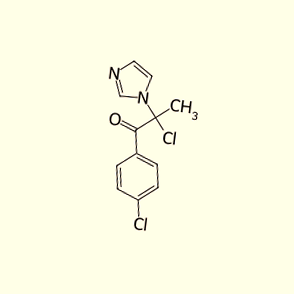 CC(Cl)(C(=O)c1ccc(Cl)cc1)n1ccnc1